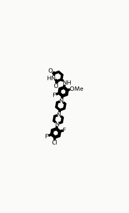 COc1cc(N2CCC(N3CCN(c4cc(F)c(Cl)cc4F)CC3)CC2)c(F)cc1NC1CCC(=O)NC1=O